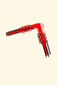 [H+].[H+].[H+].[H+].[H+].[H+].[H+].[H+].[H+].[H+].[H+].[H+].[H+].[H+].[H+].[H+].[H+].[H+].[H+].[H+].[H+].[H+].[H+].[H+].[H+].[H+].[H+].[H+].[H+].[H+].[H+].[O-].[O-].[O-].[O-].[O-].[O-].[O-].[O-].[O-].[O-].[O-].[O-].[O-].[O-].[O-].[O-].[O-].[O-].[O-].[O]=[Mo](=[O])([O-])[O-].[O]=[Mo](=[O])([O-])[O-].[O]=[Mo](=[O])([O-])[O-].[O]=[Mo](=[O])([O-])[O-].[O]=[Mo](=[O])([O-])[O-].[O]=[Mo](=[O])([O-])[O-]